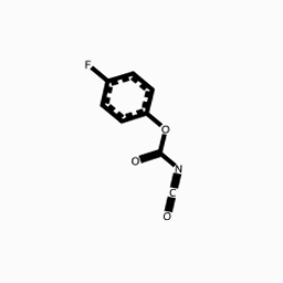 O=C=NC(=O)Oc1ccc(F)cc1